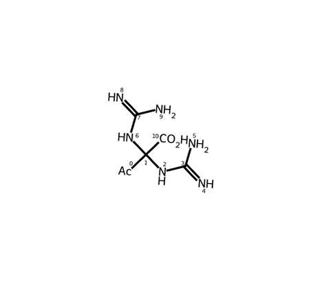 CC(=O)C(NC(=N)N)(NC(=N)N)C(=O)O